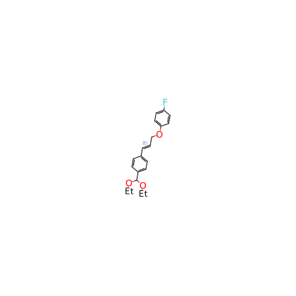 CCOC(OCC)c1ccc(/C=C/COc2ccc(F)cc2)cc1